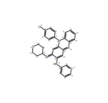 Clc1ccc(-n2c3c/c(=N\C4CCSCC4)c(Nc4cccnc4)cc-3nc3ccccc32)cc1